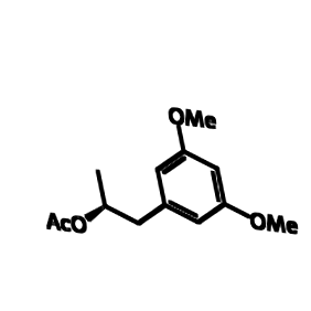 COc1cc(C[C@H](C)OC(C)=O)cc(OC)c1